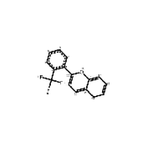 FC(F)(F)c1ccccc1C1=CC=C2CC=CC=C2O1